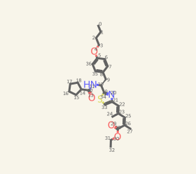 CCCCOc1ccc(C[C@H](NC(=O)C2CCCC2)c2nc(/C=C(C)/C=C(/C)C(=O)OCC)cs2)cc1